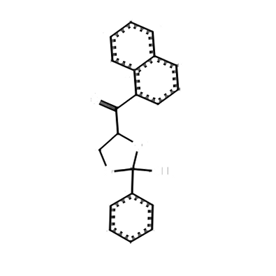 CC1(c2ccccc2)OCC(C(=O)c2cccc3ccccc23)O1